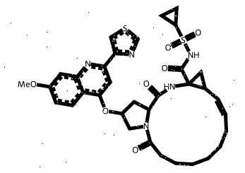 COc1ccc2c(OC3CC4C(=O)NC5(C(=O)NS(=O)(=O)C6CC6)CC5/C=C\CCCCCCC(=O)N4C3)cc(-c3cscn3)nc2c1